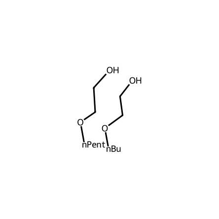 CCCCCOCCO.CCCCOCCO